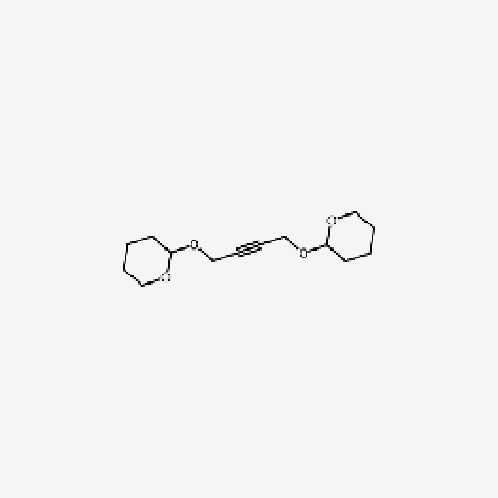 C(#CCOC1CCCCO1)COC1CCCCO1